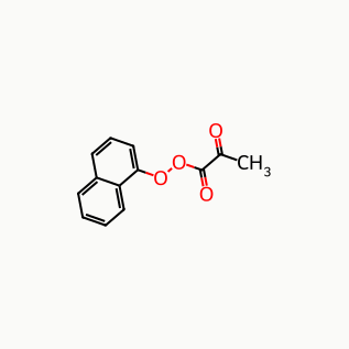 CC(=O)C(=O)OOc1cccc2ccccc12